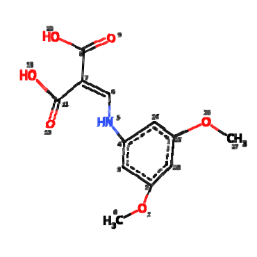 COc1cc(NC=C(C(=O)O)C(=O)O)cc(OC)c1